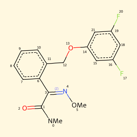 CNC(=O)/C(=N\OC)c1ccccc1COc1cc(F)cc(F)c1